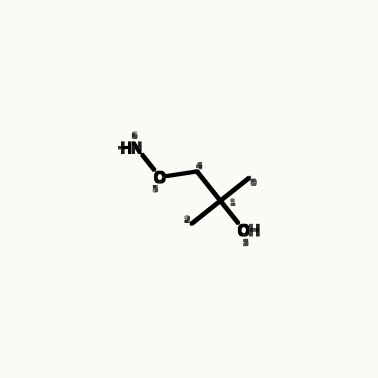 CC(C)(O)CO[NH]